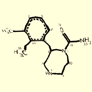 Cc1cccc(C2CNCCN2C(N)=O)c1C